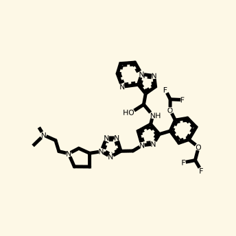 CN(C)CCN1CCC(n2nnc(Cn3cc(NC(O)c4cnn5cccnc45)c(-c4cc(OC(F)F)ccc4OC(F)F)n3)n2)C1